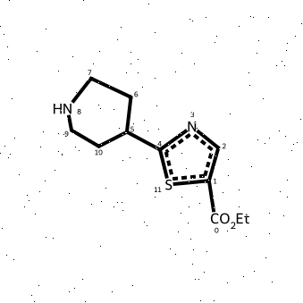 CCOC(=O)c1cnc(C2CCNCC2)s1